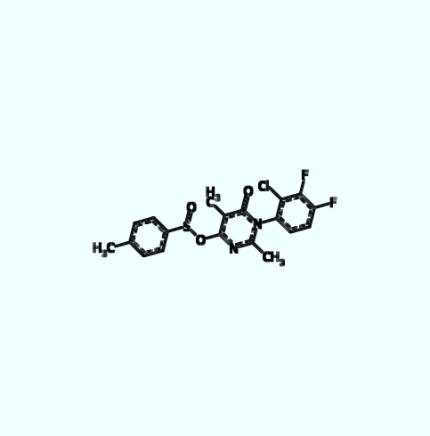 Cc1ccc(S(=O)Oc2nc(C)n(-c3ccc(F)c(F)c3Cl)c(=O)c2C)cc1